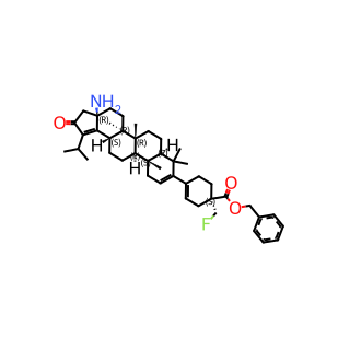 CC(C)C1=C2[C@H]3CC[C@@H]4[C@@]5(C)CC=C(C6=CC[C@](CF)(C(=O)OCc7ccccc7)CC6)C(C)(C)[C@@H]5CC[C@@]4(C)[C@]3(C)CC[C@@]2(N)CC1=O